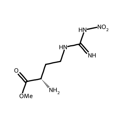 COC(=O)[C@@H](N)CCNC(=N)N[N+](=O)[O-]